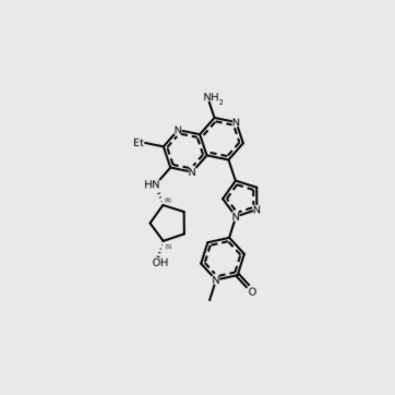 CCc1nc2c(N)ncc(-c3cnn(-c4ccn(C)c(=O)c4)c3)c2nc1N[C@@H]1CC[C@H](O)C1